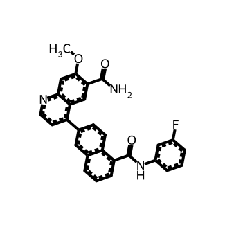 COc1cc2nccc(-c3ccc4c(C(=O)Nc5cccc(F)c5)cccc4c3)c2cc1C(N)=O